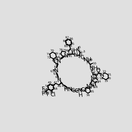 CC[C@H](C)[C@H]1CN[C@@H](C)C(C)NCC2[C@@H](C(=O)N3CCCCC3)C(C)N2[C@@H](C(C)C)C(C)NC2(CCCC2)CNCCNC=CC(CCc2ccc(C(F)(F)F)c(Cl)c2)=NC=CN(C)C=C(CC2CCCCC2)N(C)C=C2CCCN2[C@@H](CCc2ccccc2)C(C)N1